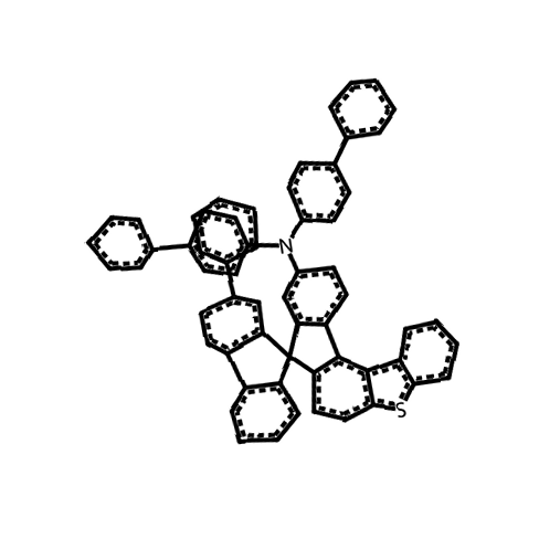 c1ccc(-c2ccc(N(c3ccc(-c4ccccc4)cc3)c3ccc4c(c3)C3(c5ccccc5-c5ccc(-c6ccccc6)cc53)c3ccc5sc6ccccc6c5c3-4)cc2)cc1